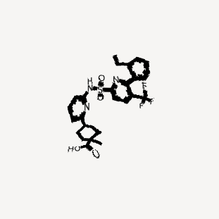 CCc1ccccc1-c1nc(S(=O)(=O)Nc2cccc(C3CCC(C)(C(=O)O)CC3)n2)ccc1C(F)(F)F